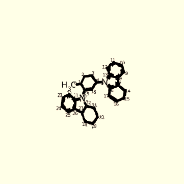 CC1CCC(n2c3c(c4ccccc42)CCC=C3)C=C1N1c2ccccc2C2CCCCC21